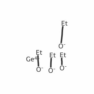 CC[O-].CC[O-].CC[O-].CC[O-].[Ge+4]